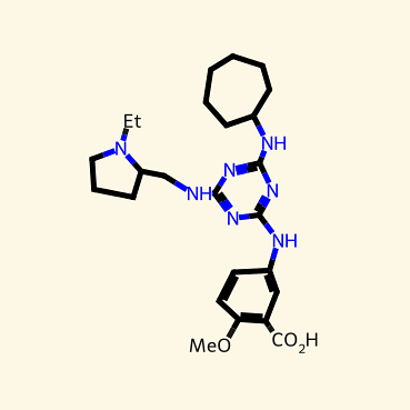 CCN1CCCC1CNc1nc(Nc2ccc(OC)c(C(=O)O)c2)nc(NC2CCCCCC2)n1